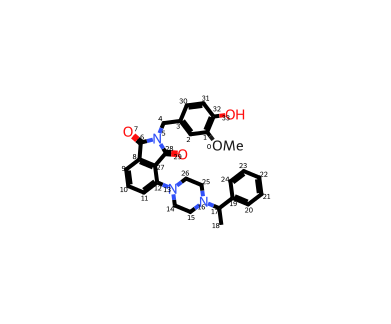 COc1cc(CN2C(=O)c3cccc(N4CCN(C(C)c5ccccc5)CC4)c3C2=O)ccc1O